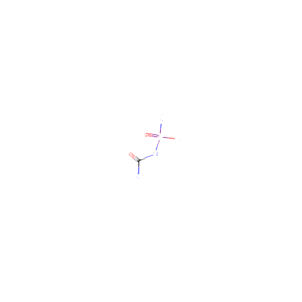 NC(=O)NP(N)(=O)O